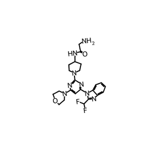 NCC(=O)NC1CCN(c2nc(N3CCOCC3)cc(-n3c(C(F)F)nc4ccccc43)n2)CC1